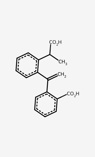 C=C(c1ccccc1C(=O)O)c1ccccc1C(C)C(=O)O